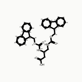 O=C(O)CC(CNC(=O)OCC1c2ccccc2-c2ccccc21)NC(=O)OCC1c2ccccc2-c2ccccc21